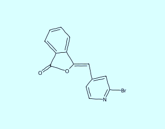 O=C1OC(=Cc2ccnc(Br)c2)c2ccccc21